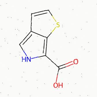 O=C(O)c1[nH]cc2ccsc12